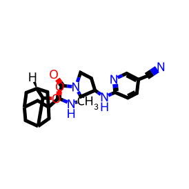 CNC(=O)C12CC3CC(C1)C(OC(=O)N1CCC(Nc4ccc(C#N)cn4)C1)[C@H](C3)C2